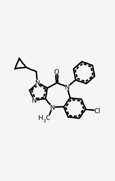 CN1c2ccc(Cl)cc2N(c2ccccc2)C(=O)c2c1ncn2CC1CC1